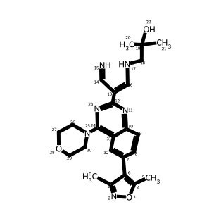 Cc1noc(C)c1-c1ccc2nc(/C(C=N)=C/NCC(C)(C)O)nc(N3CCOCC3)c2c1